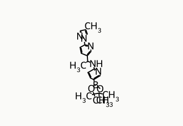 Cc1cnn(-c2ccc(C(C)Nc3ccc(B4OC(C)(C)C(C)(C)O4)cn3)cn2)c1